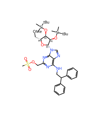 COC[C@H]1O[C@@H](n2cnc3c(NCC(c4ccccc4)c4ccccc4)nc(COS(C)(=O)=O)nc32)[C@H](O[Si](C)(C)C(C)(C)C)[C@@H]1O[Si](C)(C)C(C)(C)C